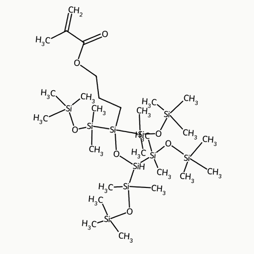 C=C(C)C(=O)OCCC[Si](O[SiH]([Si](C)(C)O[Si](C)(C)C)[Si](C)(C)O[Si](C)(C)C)([Si](C)(C)O[Si](C)(C)C)[Si](C)(C)O[Si](C)(C)C